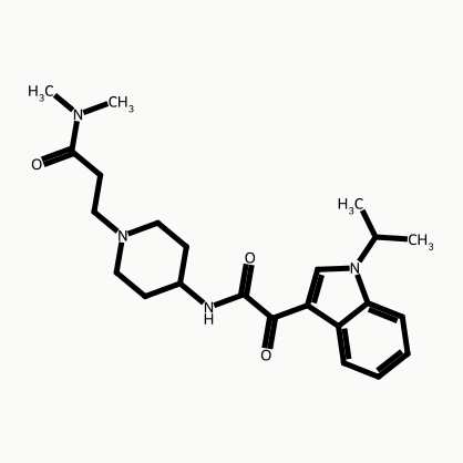 CC(C)n1cc(C(=O)C(=O)NC2CCN(CCC(=O)N(C)C)CC2)c2ccccc21